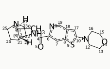 C[C@H]1[C@H](NC(=O)c2cc3sc(N4CCOCC4)cc3cn2)C2CCN1CC2